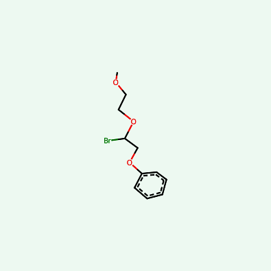 COCCOC(Br)COc1ccccc1